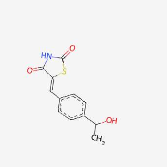 CC(O)c1ccc(/C=C2\SC(=O)NC2=O)cc1